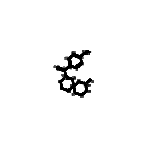 CC(C)c1ccc(C(=O)N2CCCC3(CCCN(C)C3)C2)cc1